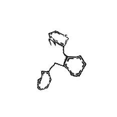 c1ccc(Cc2ccccc2-c2nccs2)cc1